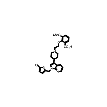 COc1cccc(C(=O)O)c1OCCN1CCC(c2cn(Cc3ccc(Cl)s3)c3ncccc23)CC1